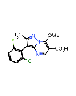 COc1c(C(=O)O)cnc2c(-c3c(F)cccc3Cl)c(C)nn12